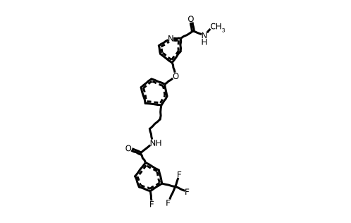 CNC(=O)c1cc(Oc2cccc(CCNC(=O)c3ccc(F)c(C(F)(F)F)c3)c2)ccn1